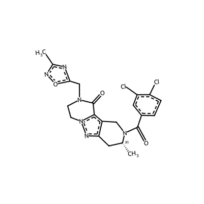 Cc1noc(CN2CCn3nc4c(c3C2=O)CN(C(=O)c2ccc(Cl)c(Cl)c2)[C@H](C)C4)n1